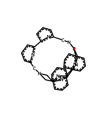 c1cc2nc(c1)-c1cccc(n1)CN1Cc3cccc(n3)-c3cccc(n3)CN(C2)Cc2cccc(n2)-c2cccc(n2)C1